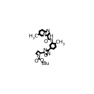 Cc1ccc2ncc(C(=O)Nc3cc(-c4noc(C5CCN5C(=O)OC(C)(C)C)n4)ccc3C)n2c1